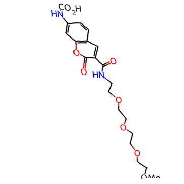 COCCOCCOCCOCCNC(=O)c1cc2ccc(NC(=O)O)cc2oc1=O